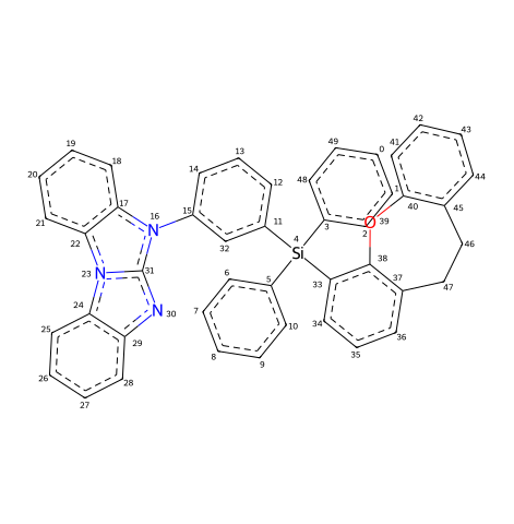 c1ccc([Si](c2ccccc2)(c2cccc(-n3c4ccccc4n4c5ccccc5nc34)c2)c2cccc3c2Oc2ccccc2CC3)cc1